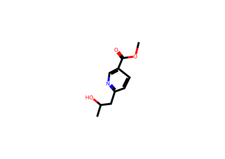 COC(=O)c1ccc(CC(C)O)nc1